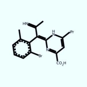 CC(=N)/C(=C1/N=C(C(=O)O)C=C(C(C)C)N1)c1c(C)cccc1Br